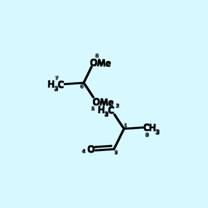 CC(C)C=O.COC(C)OC